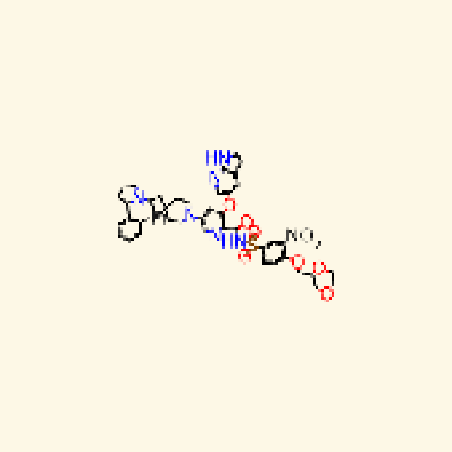 CC(C)c1ccccc1C1CCCN1C1CC2(CCN(c3cnc(C(=O)NS(=O)(=O)c4ccc(OCC5COCCO5)c([N+](=O)[O-])c4)c(Oc4cnc5[nH]ccc5c4)c3)CC2)C1